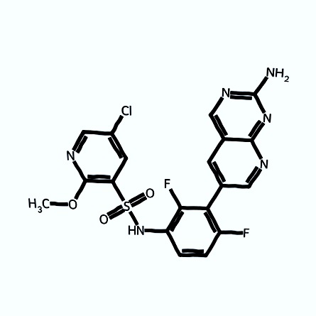 COc1ncc(Cl)cc1S(=O)(=O)Nc1ccc(F)c(-c2cnc3nc(N)ncc3c2)c1F